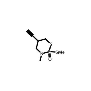 C#CC1CSP(=O)(SC)N(C)C1